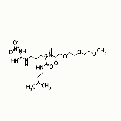 COCCOCCOCC(=O)N[C@@H](CCCNC(=N)N[N+](=O)[O-])C(=O)NCCC(C)C